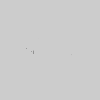 CC(C)Cc1ccc([N+](=O)[O-])s1